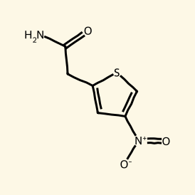 NC(=O)Cc1cc([N+](=O)[O-])cs1